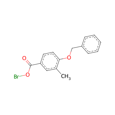 Cc1cc(C(=O)OBr)ccc1OCc1ccccc1